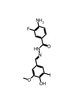 COc1cc(C=NNC(=O)c2ccc(N)c(F)c2)cc(I)c1O